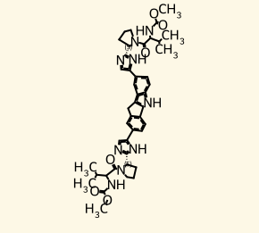 COC(=O)NC(C(=O)N1CCC[C@H]1c1ncc(-c2ccc3c(c2)Cc2c-3[nH]c3ccc(-c4cnc([C@@H]5CCCN5C(=O)C(NC(=O)OC)C(C)C)[nH]4)cc23)[nH]1)C(C)C